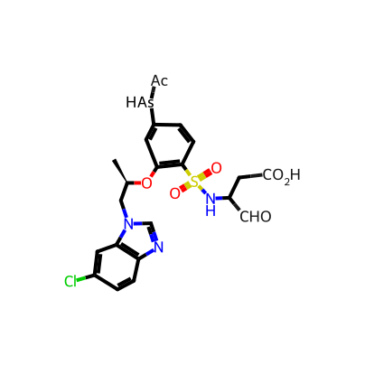 CC(=O)[AsH]c1ccc(S(=O)(=O)NC(C=O)CC(=O)O)c(O[C@H](C)Cn2cnc3ccc(Cl)cc32)c1